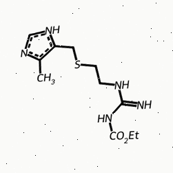 CCOC(=O)NC(=N)NCCSCc1[nH]cnc1C